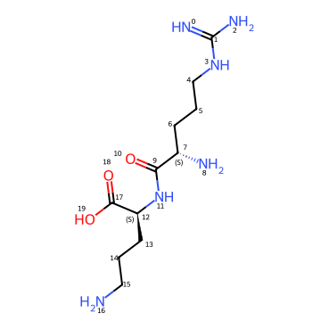 N=C(N)NCCC[C@H](N)C(=O)N[C@@H](CCCN)C(=O)O